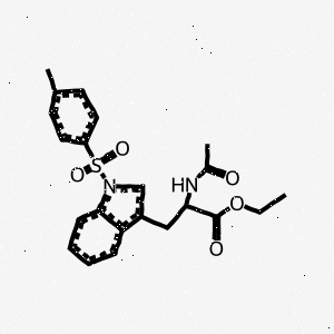 CCOC(=O)C(Cc1cn(S(=O)(=O)c2ccc(C)cc2)c2ccccc12)NC(C)=O